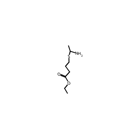 CCOC(=O)CCCSC(C)N